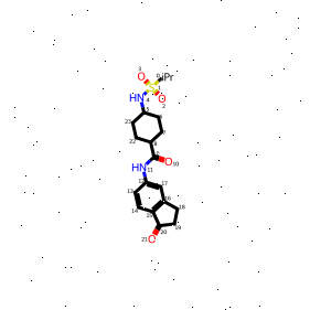 CC(C)S(=O)(=O)NC1CCC(C(=O)Nc2ccc3c(c2)CCC3=O)CC1